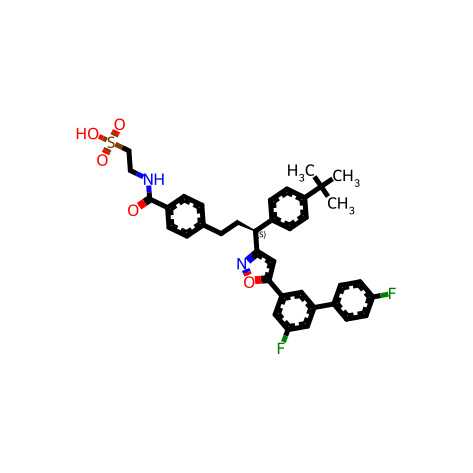 CC(C)(C)c1ccc([C@H](CCc2ccc(C(=O)NCCS(=O)(=O)O)cc2)c2cc(-c3cc(F)cc(-c4ccc(F)cc4)c3)on2)cc1